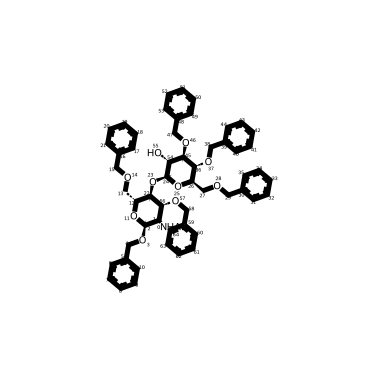 CC(=O)N[C@H]1[C@@H](OCc2ccccc2)O[C@H](COCc2ccccc2)[C@@H](O[C@@H]2O[C@H](COCc3ccccc3)[C@@H](OCc3ccccc3)[C@H](OCc3ccccc3)[C@H]2O)[C@@H]1OCc1ccccc1